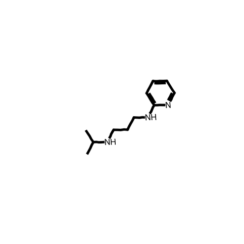 CC(C)NCCCNc1ccccn1